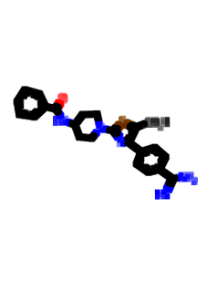 N=C(N)c1ccc(-c2nc(N3CCC(NC(=O)c4ccccc4)CC3)sc2C(=O)O)cc1